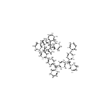 c1ccc(-c2ccc(N(c3ccccc3)c3ccc(N(c4ccccc4)c4ccc(-c5ccc6c(c5)C5(c7ccccc7-6)c6ccccc6C6(c7ccccc7-c7ccccc76)c6ccccc65)cc4)cc3)cc2)cc1